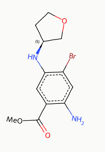 COC(=O)c1cc(N[C@H]2CCOC2)c(Br)cc1N